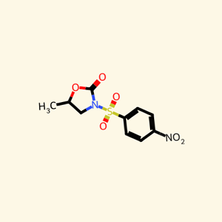 CC1CN(S(=O)(=O)c2ccc([N+](=O)[O-])cc2)C(=O)O1